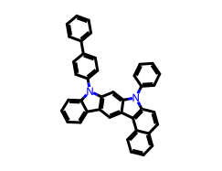 c1ccc(-c2ccc(-n3c4ccccc4c4cc5c6c7ccccc7ccc6n(-c6ccccc6)c5cc43)cc2)cc1